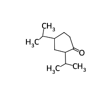 CC(C)C1CCC(=O)C(C(C)C)C1